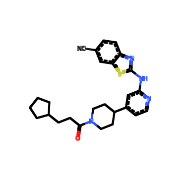 N#Cc1ccc2nc(Nc3cc(C4CCN(C(=O)CCC5CCCC5)CC4)ccn3)sc2c1